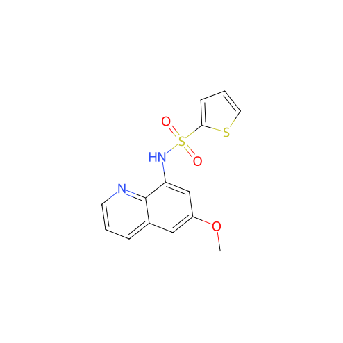 COc1cc(NS(=O)(=O)c2cccs2)c2ncccc2c1